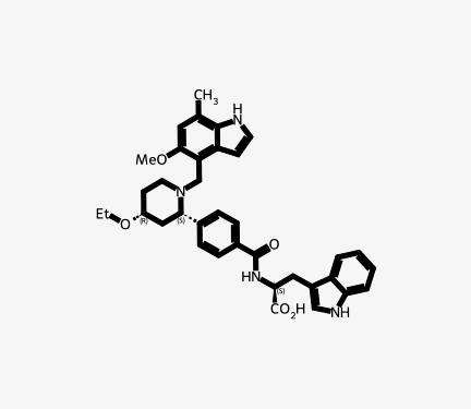 CCO[C@@H]1CCN(Cc2c(OC)cc(C)c3[nH]ccc23)[C@H](c2ccc(C(=O)N[C@@H](Cc3c[nH]c4ccccc34)C(=O)O)cc2)C1